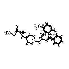 CC(C)(C)OC(=O)NCC1CCN(CC(O)CN2c3ccccc3Sc3ccc(C(F)(F)F)cc32)CC1